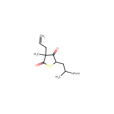 C=CCC1(C)C(=O)SC(CC(C)CCCCC)C1=O